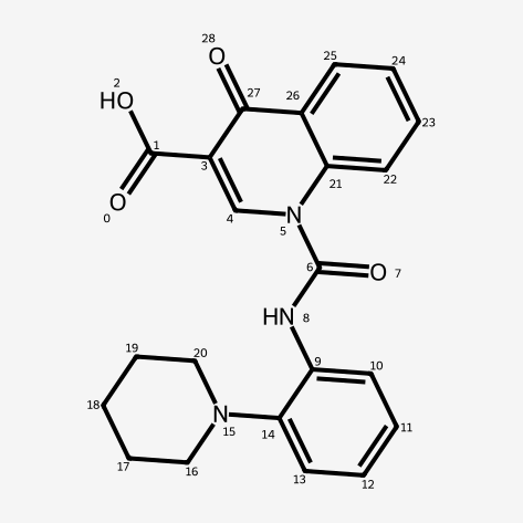 O=C(O)c1cn(C(=O)Nc2ccccc2N2CCCCC2)c2ccccc2c1=O